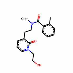 Cc1ccccc1C(=O)N(C=O)CCc1cccn(CCO)c1=O